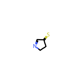 S=C1C=NCC1